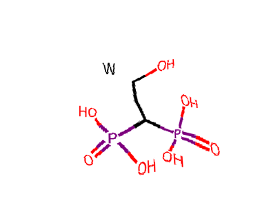 O=P(O)(O)C(CO)P(=O)(O)O.[W]